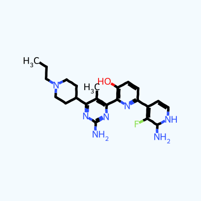 CCCN1CCC(c2nc(N)nc(-c3nc(C4=C(F)C(N)NC=C4)ccc3O)c2C)CC1